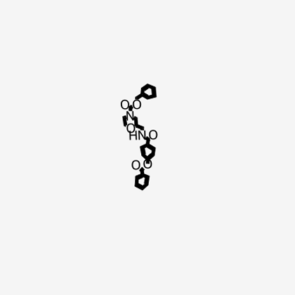 O=C(NCC1CN(C(=O)OCc2ccccc2)CCO1)c1ccc(OC(=O)c2ccccc2)cc1